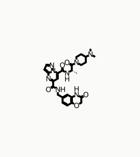 C[C@H](NC(=O)c1cc(C(=O)NCc2ccc3c(c2)NC(=O)CO3)nc2ccnn12)C(=O)N1CCC(N(C)C)CC1